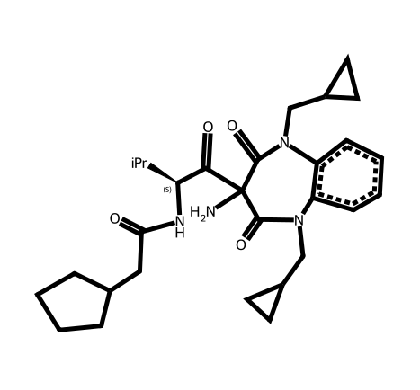 CC(C)[C@H](NC(=O)CC1CCCC1)C(=O)C1(N)C(=O)N(CC2CC2)c2ccccc2N(CC2CC2)C1=O